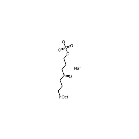 CCCCCCCCCCCC(=O)CCCOS(=O)(=O)[O-].[Na+]